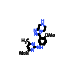 CNc1cc(C)nc(Nc2ccc(OC)c(-c3nnc4n3CCNC4)c2)n1